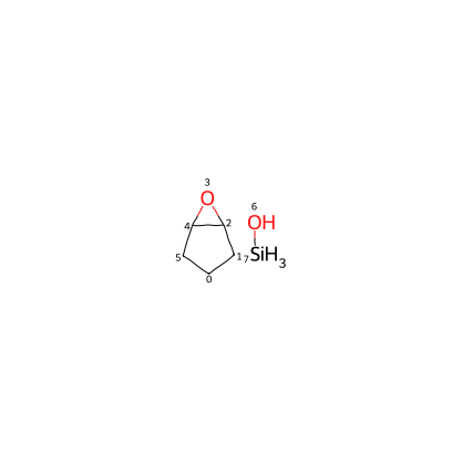 C1CC2OC2C1.O[SiH3]